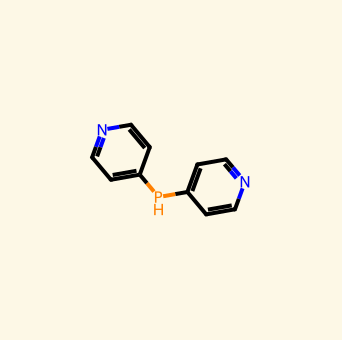 c1cc(Pc2ccncc2)ccn1